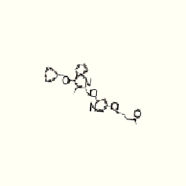 CC(=O)CCCOc1ccnc(OCc2nc3ccccc3c(OCc3ccccc3)c2C)c1